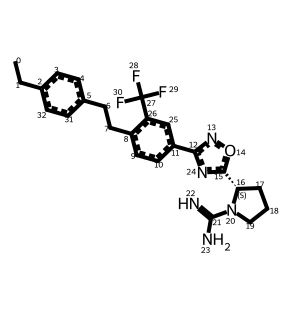 CCc1ccc(CCc2ccc(-c3noc([C@@H]4CCCN4C(=N)N)n3)cc2C(F)(F)F)cc1